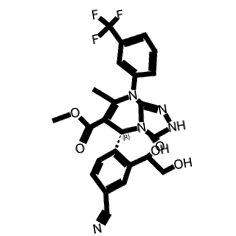 COC(=O)C1=C(C)N(c2cccc(C(F)(F)F)c2)c2n[nH]c(=O)n2[C@@H]1c1ccc(C#N)cc1C(O)CO